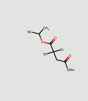 CCC(CC)(CC(=O)OC)C(=O)OC(C)C#N